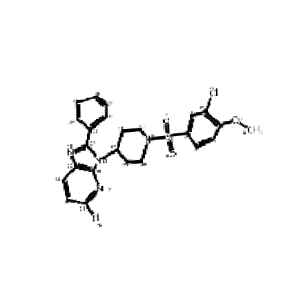 COc1ccc(S(=O)(=O)N2CCC(n3c(-c4ccccc4)nc4ccc(Cl)nc43)CC2)cc1Cl